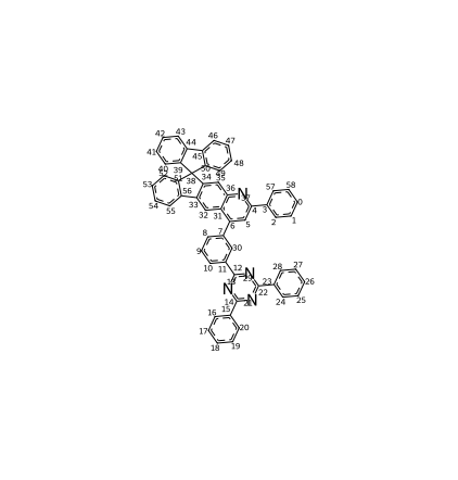 c1ccc(-c2cc(-c3cccc(-c4nc(-c5ccccc5)nc(-c5ccccc5)n4)c3)c3cc4c(cc3n2)C2(c3ccccc3-c3ccccc32)c2ccccc2-4)cc1